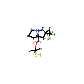 CC(C)(S)OC[C@@]12CCCN1C[C@@]1(CC1(F)F)C2